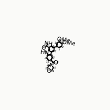 COc1ccc(-c2cc(C(N)=O)c3[nH]c4ccc(C(=O)N5CCOCC5)cc4c3c2)cc1OC